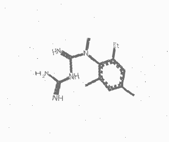 CCc1cc(C)cc(C)c1N(C)C(=N)NC(=N)N